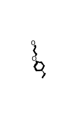 CC[C@H]1CC=C(OCCC=O)CC1